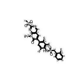 CC(C)n1c(=O)c(-c2cc(F)c(NS(=O)(=O)Cc3ccccc3F)c(F)c2F)cc2cnc(S(C)(=O)=O)nc21